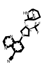 N#Cc1ccc(N2C[C@H](CN3CC4CCC3CN4)[C@@H](C(F)(F)F)C2)c2nccnc12